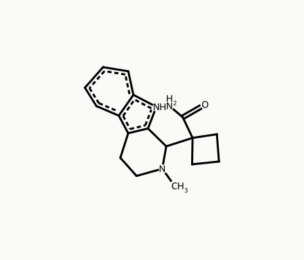 CN1CCc2c([nH]c3ccccc23)C1C1(C(N)=O)CCC1